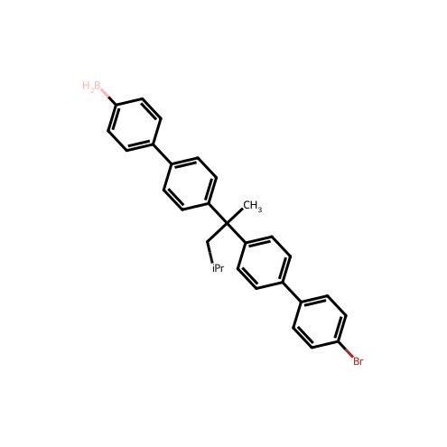 Bc1ccc(-c2ccc(C(C)(CC(C)C)c3ccc(-c4ccc(Br)cc4)cc3)cc2)cc1